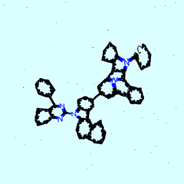 c1ccc(-c2nc(-n3c4ccc(-c5cc6c7ccccc7c7c8c(c9ccccc9n8-c8ccccc8)c(c5)n67)cc4c4c5ccccc5ccc43)nc3ccccc23)cc1